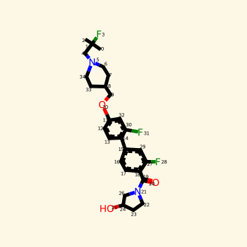 CC(C)(F)CN1CCC(COc2ccc(-c3ccc(C(=O)N4CCC(O)C4)c(F)c3)c(F)c2)CC1